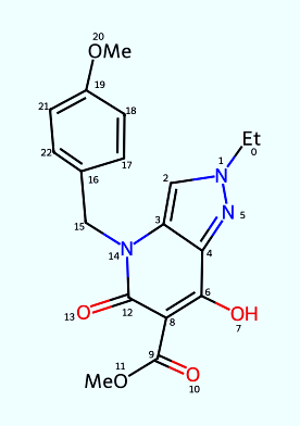 CCn1cc2c(n1)c(O)c(C(=O)OC)c(=O)n2Cc1ccc(OC)cc1